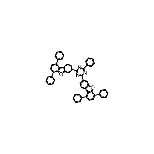 c1ccc(-c2nc(-c3ccc4c(c3)oc3c(-c5ccccc5)ccc(-c5ccccc5)c34)nc(-c3ccc4c(c3)oc3c(-c5ccccc5)ccc(-c5ccccc5)c34)n2)cc1